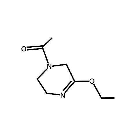 CCOC1=NCCN(C(C)=O)C1